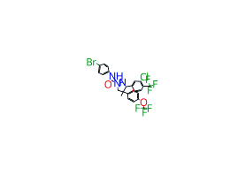 CC1(c2ccc(OC(F)(F)F)cc2)CN(C(=O)Nc2ccc(Br)cc2)N=C1c1ccc(C(F)(F)F)c(Cl)c1